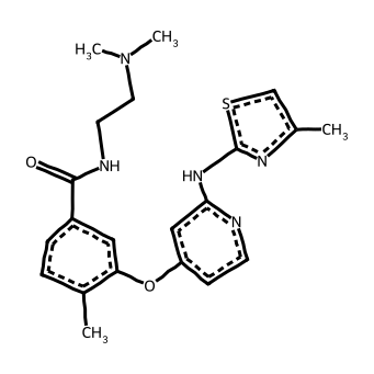 Cc1csc(Nc2cc(Oc3cc(C(=O)NCCN(C)C)ccc3C)ccn2)n1